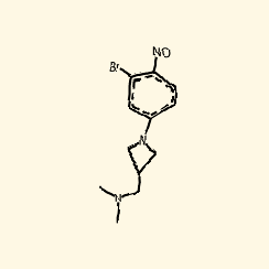 CN(C)CC1CN(c2ccc(N=O)c(Br)c2)C1